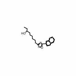 CCC(O)CCCCC[CH]c1noc(-c2ccc3ccccc3c2)n1